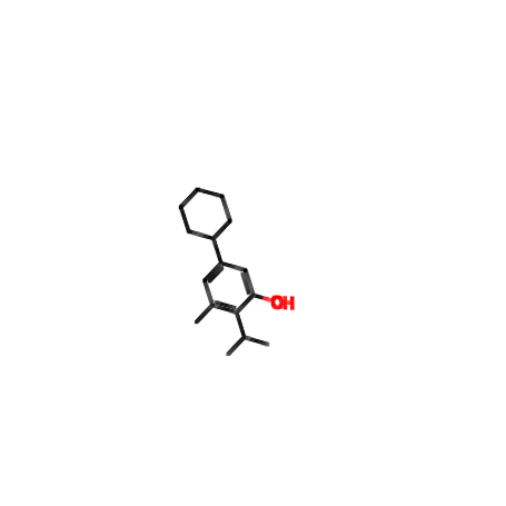 Cc1cc(C2CCCCC2)cc(O)c1C(C)C